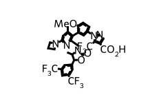 COc1ccc(-n2ncc(C(=O)O)c2C(F)(F)F)cc1-c1c(C)cc(N2CCC2)nc1CN1C(=O)OC(c2cc(C(F)(F)F)cc(C(F)(F)F)c2)C1C